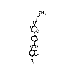 CCCCOC1COC(c2ccc(C(=O)Oc3ccc(C#N)c(F)c3F)cc2)CO1